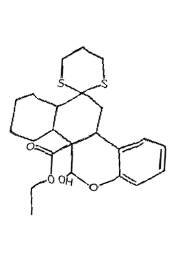 CCOC(=O)C12C(O)Oc3ccccc3C1CC1(SCCCS1)C1CCCCC12